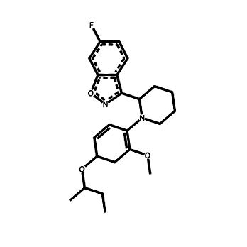 CCC(C)O[C]1C=CC(N2CCCCC2c2noc3cc(F)ccc23)=C(OC)C1